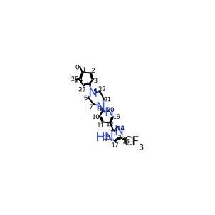 Cc1ccc(N2CCN(c3ccc(-c4nc(C(F)(F)F)c[nH]4)cn3)CC2)cc1C